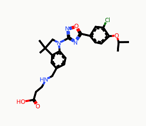 CC(C)Oc1ccc(-c2nc(N3CC(C)(C)c4cc(CNCCC(=O)O)ccc43)no2)cc1Cl